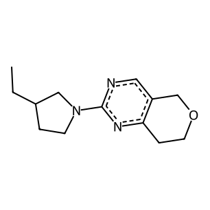 CCC1CCN(c2ncc3c(n2)CCOC3)C1